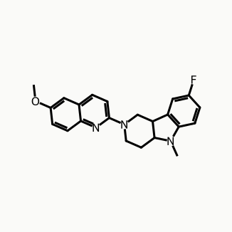 COc1ccc2nc(N3CCC4C(C3)c3cc(F)ccc3N4C)ccc2c1